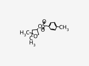 Cc1ccc(S(=O)(=O)OC2COC(C)(C)C2)cc1